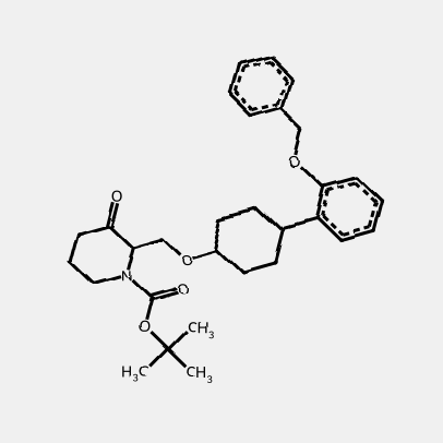 CC(C)(C)OC(=O)N1CCCC(=O)C1COC1CCC(c2ccccc2OCc2ccccc2)CC1